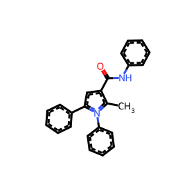 Cc1c(C(=O)Nc2ccccc2)cc(-c2ccccc2)n1-c1ccccc1